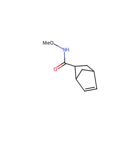 CONC(=O)C1CC2C=CC1C2